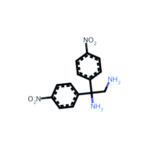 NCC(N)(c1ccc([N+](=O)[O-])cc1)c1ccc([N+](=O)[O-])cc1